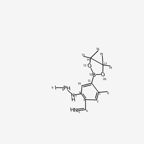 Cc1cc(C=N)c(NPI)cc1B1OC(C)(C)C(C)(C)O1